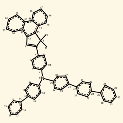 CC1(C)C(c2ccc(N(c3ccc(-c4ccccc4)cc3)c3ccc(-c4ccc(-c5ccccc5)cc4)cc3)cc2)=Cc2c1c1ccccc1c1ccccc21